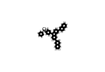 CN(c1ccccc1)c1ccc(C2c3ccc(-c4ccc5ccccc5c4)cc3-c3cc(-c4ccc5ccccc5c4)ccc32)cc1